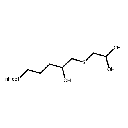 CCCCCCCCCCC(O)CSCC(C)O